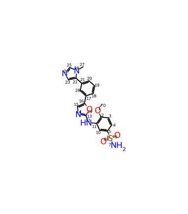 COc1ccc(S(N)(=O)=O)cc1Nc1ncc(-c2cccc(-c3cncn3C)c2)o1